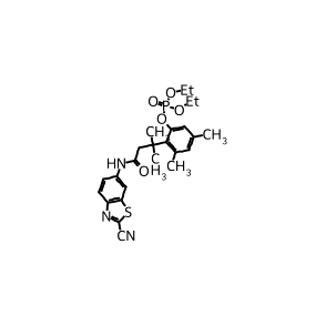 CCOP(=O)(OCC)Oc1cc(C)cc(C)c1C(C)(C)CC(=O)Nc1ccc2nc(C#N)sc2c1